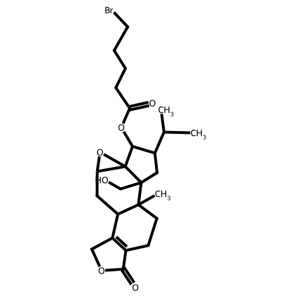 CC(C)C1CC2(CO)C3(C)CCC4=C(COC4=O)C3CC3OC32C1OC(=O)CCCCBr